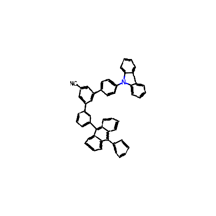 N#Cc1cc(-c2ccc(-n3c4ccccc4c4ccccc43)cc2)cc(-c2cccc(-c3c4ccccc4c(-c4ccccc4)c4ccccc34)c2)c1